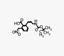 CC(C)(C)OC(=O)NC/C=C\c1cccc(C[N+](=O)[O-])c1C(=O)O